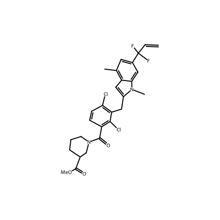 C=CC(F)(F)c1cc(C)c2cc(Cc3c(Cl)ccc(C(=O)N4CCCC(C(=O)OC)C4)c3Cl)n(C)c2c1